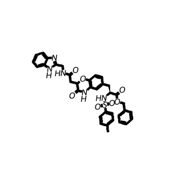 Cc1ccc(S(=O)(=O)N[C@@H](Cc2ccc3c(c2)NC(=O)C(CC(=O)NCc2nc4ccccc4[nH]2)O3)C(=O)OCc2ccccc2)cc1